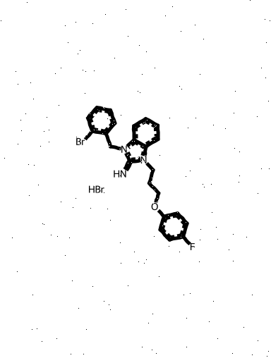 Br.N=c1n(CCCOc2ccc(F)cc2)c2ccccc2n1Cc1ccccc1Br